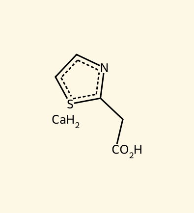 O=C(O)Cc1nccs1.[CaH2]